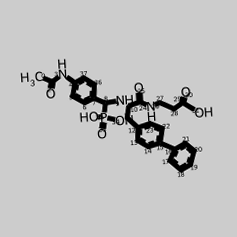 CC(=O)Nc1ccc(C(NC(Cc2ccc(-c3ccccc3)cc2)C(=O)NCCC(=O)O)P(=O)(O)O)cc1